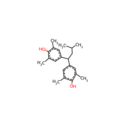 Cc1cc(C(CC(C)C)c2cc(C)c(O)c(C)c2)cc(C)c1O